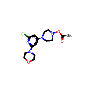 CC(C)(C)C(=O)ON1CCN(c2cc(Cl)nc(N3CCOCC3)c2)CC1